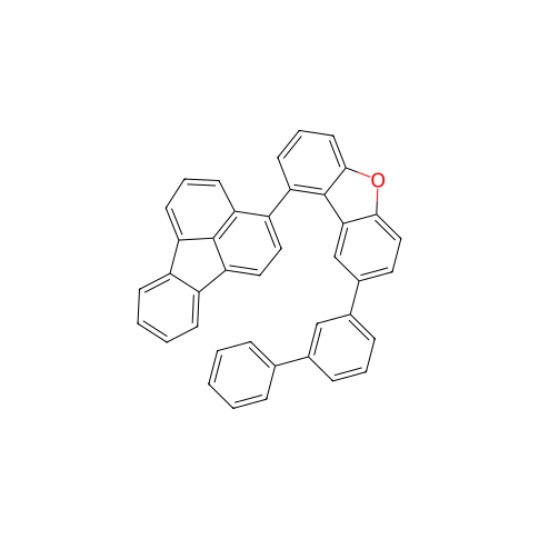 c1ccc(-c2cccc(-c3ccc4oc5cccc(-c6ccc7c8c(cccc68)-c6ccccc6-7)c5c4c3)c2)cc1